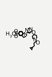 CS(=O)(=O)c1ccc2c(c1)CCN2c1cc(OC2CCN(C(=O)CCC3CC3)CC2)ncn1